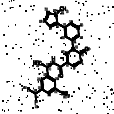 C[C@@H](NC(=O)c1ccc(=O)n(-c2cncc(-c3cnnn3C)c2)n1)c1cc(C(F)F)cc([N+](=O)[O-])c1